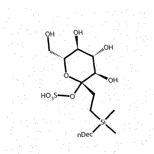 CCCCCCCCCC[Si](C)(C)CC[C@@]1(OS(=O)(=O)O)O[C@H](CO)[C@@H](O)[C@H](O)[C@H]1O